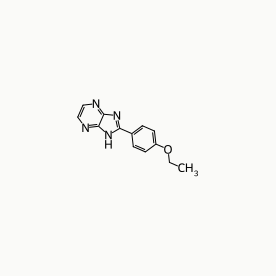 CCOc1ccc(-c2nc3nccnc3[nH]2)cc1